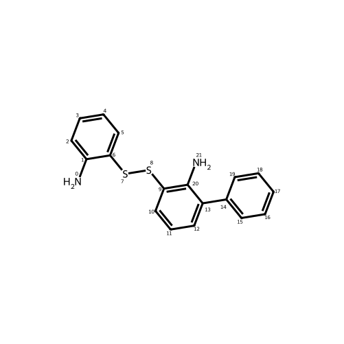 Nc1ccccc1SSc1cccc(-c2ccccc2)c1N